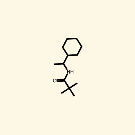 CC(NC(=O)C(C)(C)C)C1CCCCC1